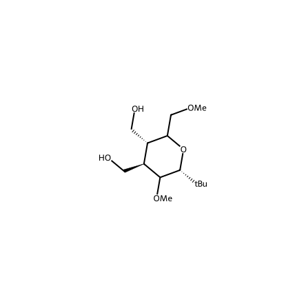 COCC1O[C@H](C(C)(C)C)C(OC)[C@@H](CO)[C@@H]1CO